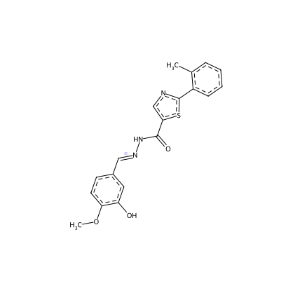 COc1ccc(/C=N/NC(=O)c2cnc(-c3ccccc3C)s2)cc1O